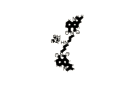 CS(=O)(=O)O.Cc1cnc2c(c1)cc1c3c(cccc32)C(=O)N(CCCCNCCCN2C(=O)c3cccc4c3c(cc3cc(C)cnc34)C2=O)C1=O